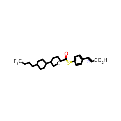 O=C(O)/C=C/c1ccc(SC(=O)C2CCC(C3CCC(CCCC(F)(F)F)CC3)CC2)cc1